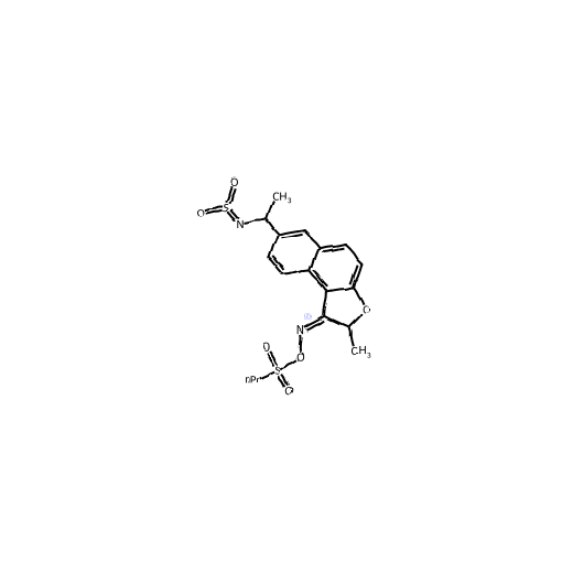 CCCS(=O)(=O)O/N=C1/c2c(ccc3cc(C(C)N=S(=O)=O)ccc23)OC1C